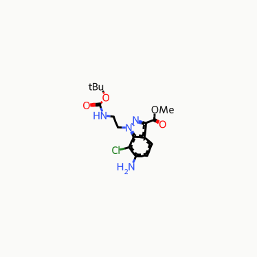 COC(=O)c1nn(CCNC(=O)OC(C)(C)C)c2c(Cl)c(N)ccc12